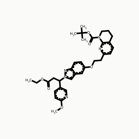 CCOC(=O)CC(c1ccc(OC)nc1)n1cc2cc(OCCc3ccc4c(n3)N(C(=O)OC(C)(C)C)CCC4)ccc2n1